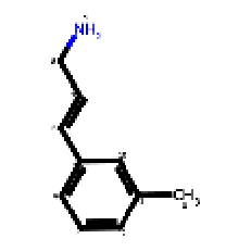 Cc1cccc(C=CCN)c1